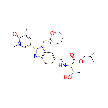 Cc1cc(-c2nc3ccc(CNC(C(=O)OCC(C)C)C(C)O)cc3n2C[C@H]2CCCCO2)cn(C)c1=O